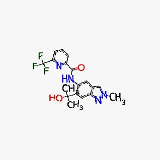 Cn1cc2cc(NC(=O)c3cccc(C(F)(F)F)n3)c(C(C)(C)O)cc2n1